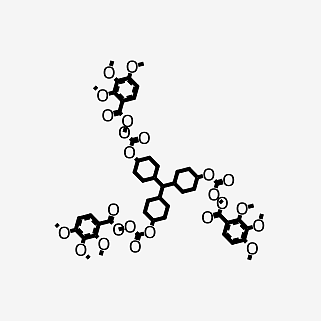 COc1ccc(C(=O)OOC(=O)OC2CCC(C(C3CCC(OC(=O)OOC(=O)c4ccc(OC)c(OC)c4OC)CC3)C3CCC(OC(=O)OOC(=O)c4ccc(OC)c(OC)c4OC)CC3)CC2)c(OC)c1OC